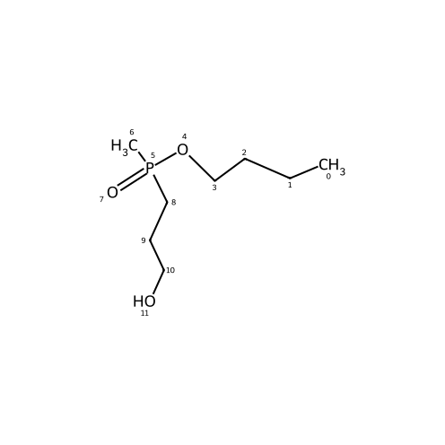 CCCCOP(C)(=O)CCCO